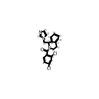 O=C(c1ccc(Cl)cc1Cl)N1CCc2ccccc2C1Cn1ccnc1